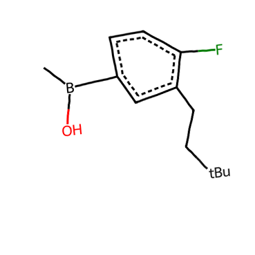 CB(O)c1ccc(F)c(CCC(C)(C)C)c1